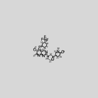 COc1nc2c(-c3ccc(C(F)(F)F)cc3F)nc([C@H]3CCO[C@@H](c4ccc(=O)n(C)c4)C3)nc2nc1C